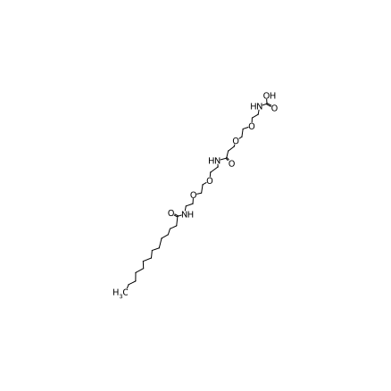 CCCCCCCCCCCCCC(=O)NCCOCCOCCNC(=O)CCOCCOCCNC(=O)O